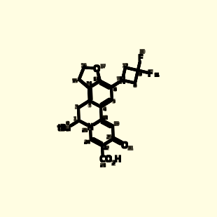 CC(C)(C)C1Cc2c(cc(N3CC(F)(F)C3)c3c2CCO3)-c2cc(=O)c(C(=O)O)cn21